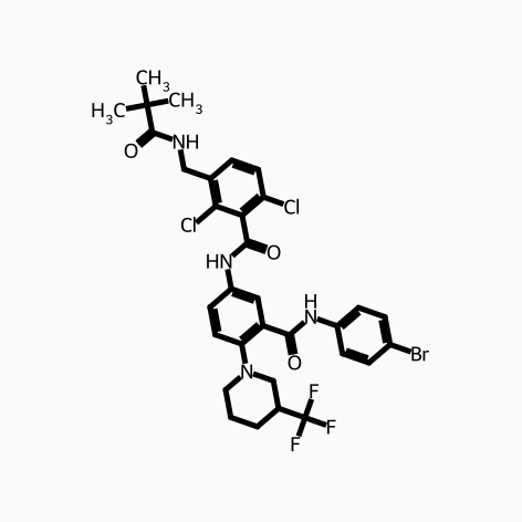 CC(C)(C)C(=O)NCc1ccc(Cl)c(C(=O)Nc2ccc(N3CCCC(C(F)(F)F)C3)c(C(=O)Nc3ccc(Br)cc3)c2)c1Cl